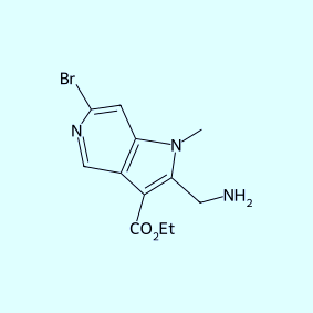 CCOC(=O)c1c(CN)n(C)c2cc(Br)ncc12